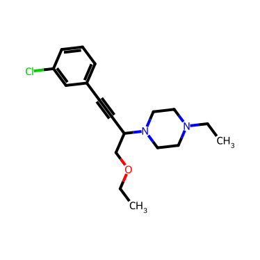 CCOCC(C#Cc1cccc(Cl)c1)N1CCN(CC)CC1